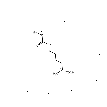 C[C@H](CCCCNC(=O)OC(C)(C)C)C(=O)O